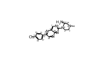 CN1CCN(c2ncc3nc(-c4ccc(Cl)cc4)cnc3n2)C(N)C1